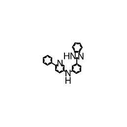 c1ccc(-c2ccc(Nc3cccc(-c4nc5ccccc5[nH]4)c3)cn2)cc1